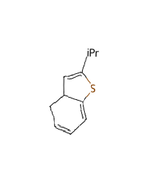 CC(C)C1=CC2CC=CC=C2S1